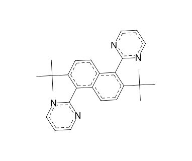 CC(C)(C)c1ccc2c(-c3ncccn3)c(C(C)(C)C)ccc2c1-c1ncccn1